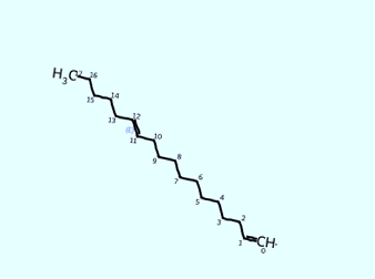 [CH]=CCCCCCCCCC/C=C/CCCCC